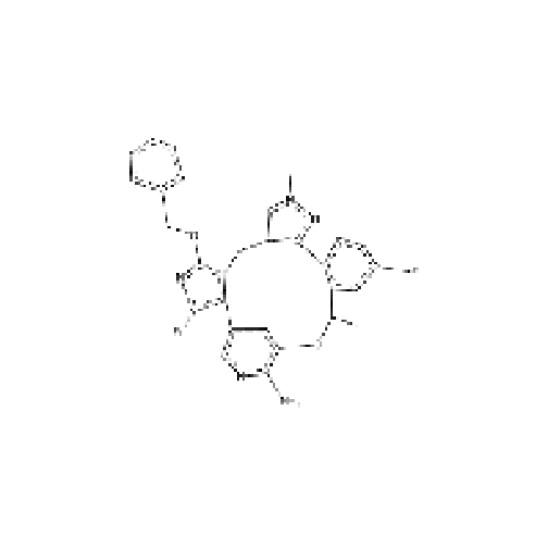 CCn1nc(OCc2ccccc2)c2c1-c1cnc(N)c(c1)OC(C)c1cc(F)ccc1-c1nn(C)cc1C2